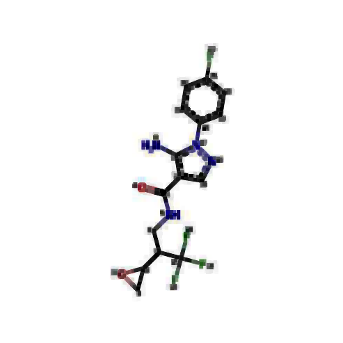 Nc1c(C(=O)NCC(C2CO2)C(F)(F)F)cnn1-c1ccc(F)cc1